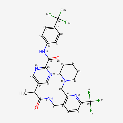 CC(C(=O)NCc1ccc(C(F)(F)F)nc1CN1CCCCC1)c1cnc(C(=O)Nc2ccc(C(F)(F)F)cc2)nc1